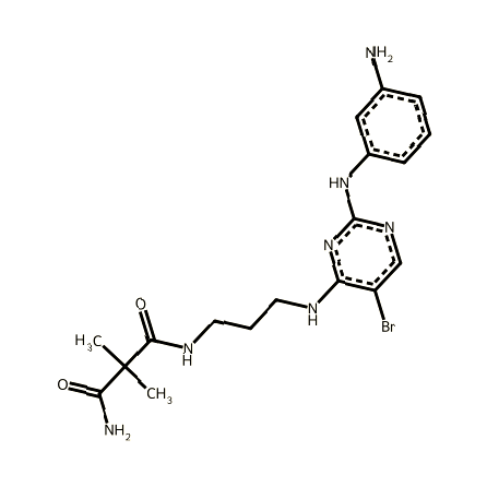 CC(C)(C(N)=O)C(=O)NCCCNc1nc(Nc2cccc(N)c2)ncc1Br